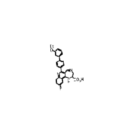 CCOc1cccc(-c2ccc(-c3nc4ccc(F)cc4c4c3C=NCC(C(=O)O)N4)cc2)c1